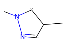 CC1[C]N(C)N=[C]1